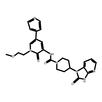 COCCn1cc(-c2ccncc2)cc(NC(=O)N2CCC(n3c(=O)[nH]c4ncccc43)CC2)c1=O